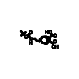 CC(C)(C)OC(=O)NCCN1CC2CC(C1)N(C(=O)O)N2C(=O)O